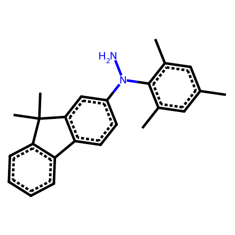 Cc1cc(C)c(N(N)c2ccc3c(c2)C(C)(C)c2ccccc2-3)c(C)c1